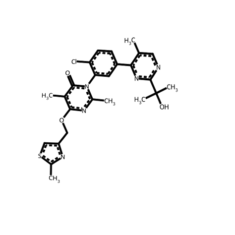 Cc1nc(COc2nc(C)n(-c3cc(-c4nc(C(C)(C)O)ncc4C)ccc3Cl)c(=O)c2C)cs1